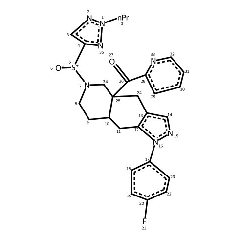 CCCn1ncc([S+]([O-])N2CCC3Cc4c(cnn4-c4ccc(F)cc4)CC3(C(=O)c3ccccn3)C2)n1